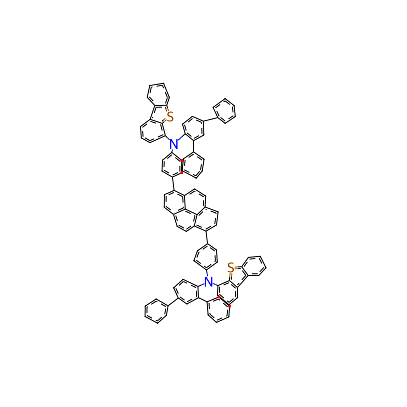 c1ccc(-c2ccc(N(c3ccc(-c4ccc5ccc6c(-c7ccc(N(c8ccc(-c9ccccc9)cc8-c8ccccc8)c8cccc9c8sc8ccccc89)cc7)ccc7ccc4c5c76)cc3)c3cccc4c3sc3ccccc34)c(-c3ccccc3)c2)cc1